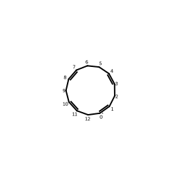 [C]1=CCC=CCCC=CCC=CC1